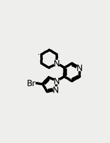 Brc1cnn(-c2ccncc2N2CC[CH]CC2)c1